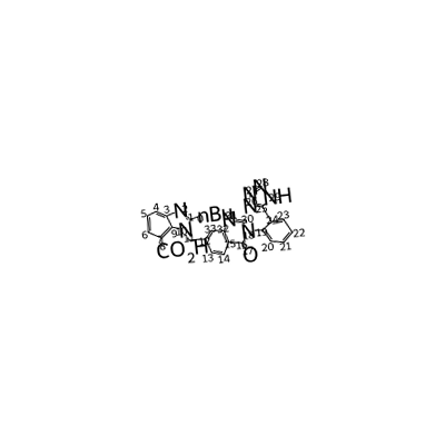 CCCCc1nc2cccc(C(=O)O)c2n1Cc1ccc2c(=O)n(-c3ccccc3-c3nnn[nH]3)cnc2c1